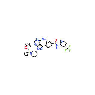 COCC1(N2CCCC(n3nc(-c4ccc(C(=O)Nc5cc(C(F)(F)F)ccn5)cc4)c4c(N)ncnc43)C2)CCC1